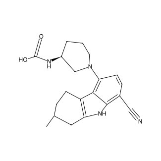 CC1CCc2c([nH]c3c(C#N)ccc(N4CCC[C@H](NC(=O)O)C4)c23)C1